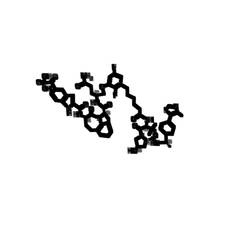 Cc1ncsc1-c1ccc([C@H](C)NC(=O)[C@@H]2C[C@@H](O)CN2C(=O)[C@@H](NC(=O)CCCCCc2cc(F)cc(OC[C@H](CCC(N)=O)NC(=O)[C@@H]3Cc4cccc5c4N3C(=O)[C@@H](NC(=O)c3cc4cc(C(=O)P(=O)(O)O)ccc4[nH]3)CC5)c2F)C(C)(C)C)cc1